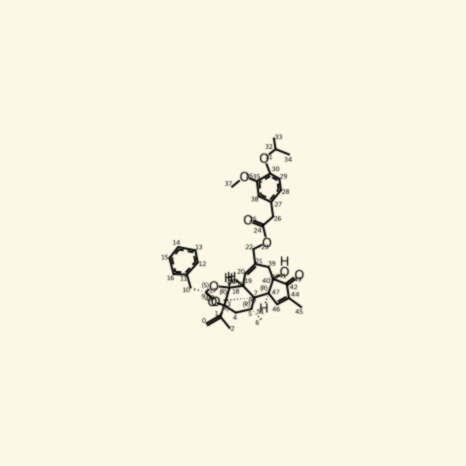 C=C(C)[C@]12C[C@@H](C)[C@@]34O[C@](Cc5ccccc5)(O[C@@H]1[C@@H]3C=C(COC(=O)Cc1ccc(OC(C)C)c(OC)c1)C[C@]1(O)C(=O)C(C)=C[C@@H]41)O2